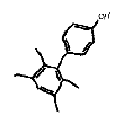 Cc1cc(C)c(C)c(-c2ccc(O)cc2)c1C